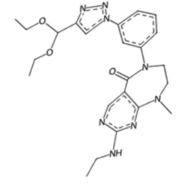 CCNc1ncc2c(n1)N(C)CCN(c1cccc(-n3cc(C(OCC)OCC)nn3)c1)C2=O